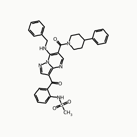 CS(=O)(=O)Nc1ccccc1C(=O)c1cnn2c(NCc3ccccc3)c(C(=O)N3CCC(c4ccccc4)CC3)cnc12